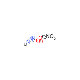 O=C(OCc1cc2n(n1)CCN(C1CCC1)C2)Oc1ccc([N+](=O)[O-])cc1